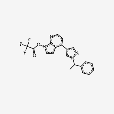 CC(c1ccccc1)n1cc(-c2ccnc3c2ccn3OC(=O)C(F)(F)F)cn1